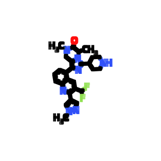 CC1C(=O)N(C)Cc2c(-c3cccc4nc(-c5cnn(C)c5)c(C(F)F)cc34)nc(C3CCNCC3)n21